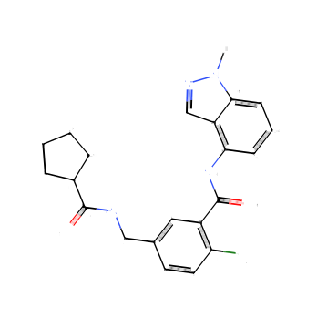 CC(C)n1ncc2c(NC(=O)c3cc(CNC(=O)C4CCCC4)ccc3Cl)cccc21